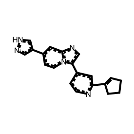 C1=C(c2cc(-c3cnc4cc(-c5cn[nH]c5)ccn34)ccn2)CCC1